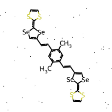 Cc1cc(/C=C/C2=C[Se]C(=C3SC=CS3)[Se]2)c(C)cc1/C=C/C1=C[Se]C(=C2SC=CS2)[Se]1